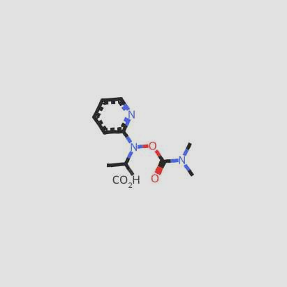 CC(C(=O)O)N(OC(=O)N(C)C)c1ccccn1